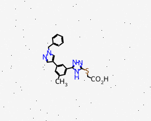 Cc1cc(-c2cnn(Cc3ccccc3)c2)cc(-c2nnc(SCC(=O)O)[nH]2)c1